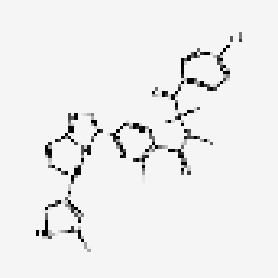 CCc1ccc(C(=O)C(C)(C)N(C)C(=O)c2ccc(-c3cnc4ccc(C5=CN(C)NC5)cn34)cc2F)cc1